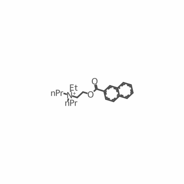 CCC[N+](CC)(CCC)CCOC(=O)c1ccc2ccccc2c1